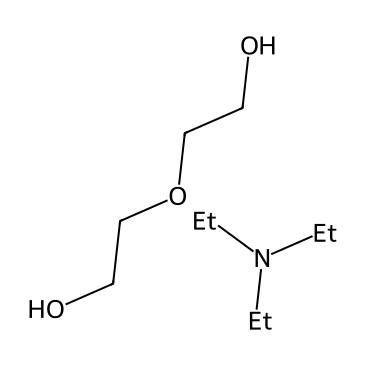 CCN(CC)CC.OCCOCCO